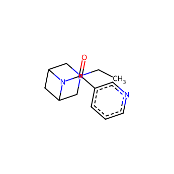 CCN1CC2CC(C1)N2C(=O)c1cccnc1